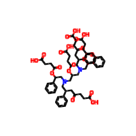 O=C(O)CCC(=O)CC(CN(CC(CN(CC(CC(=O)CCC(=O)O)c1ccccc1)CC(OC(=O)CCC(=O)O)c1ccccc1)OC(=O)CCC(=O)O)CC(OC(=O)CCC(=O)O)c1ccccc1)c1ccccc1